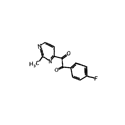 Cc1nccc(C(=O)C(=O)c2ccc(F)cc2)n1